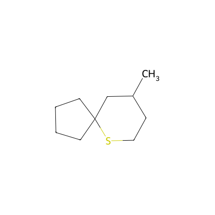 CC1CCSC2(CCCC2)C1